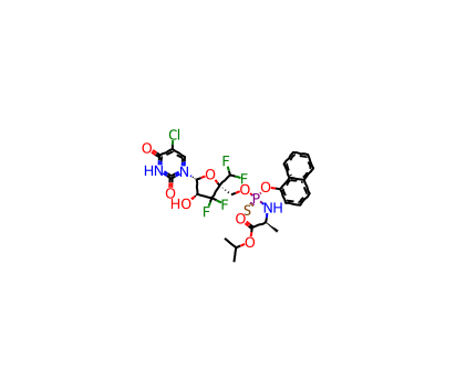 CC(C)OC(=O)[C@H](C)NP(=S)(OC[C@@]1(C(F)F)O[C@@H](n2cc(Cl)c(=O)[nH]c2=O)[C@H](O)C1(F)F)Oc1cccc2ccccc12